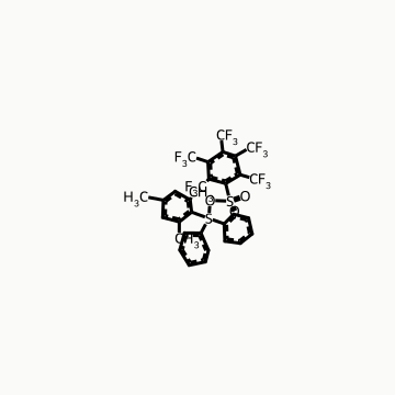 Cc1cc(C)c(S(OS(=O)(=O)c2c(C(F)(F)F)c(C(F)(F)F)c(C(F)(F)F)c(C(F)(F)F)c2C(F)(F)F)(c2ccccc2)c2ccccc2)c(C)c1